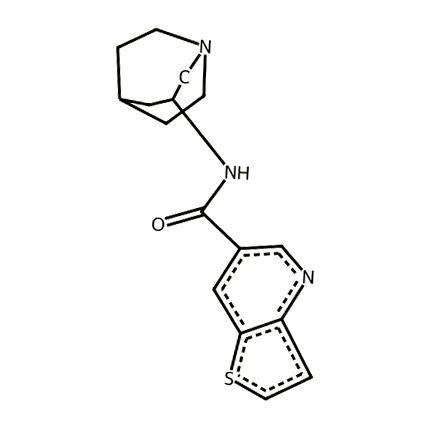 O=C(NC1CC2CCN(CC2)C1)c1cnc2ccsc2c1